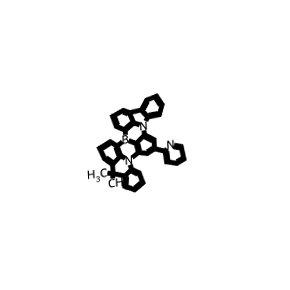 CC1(C)c2ccccc2N2c3cc(-c4ccccn4)cc4c3B(c3cccc1c32)c1cccc2c3ccccc3n-4c12